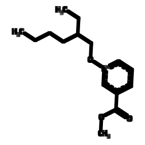 CCCCC(CC)CO[n+]1cccc(C(=O)OC)c1